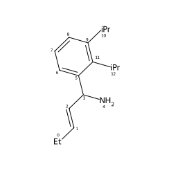 CCC=CC(N)c1cccc(C(C)C)c1C(C)C